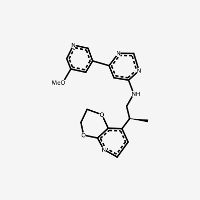 COc1cncc(-c2cc(NC[C@@H](C)c3ccnc4c3OCCO4)ncn2)c1